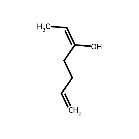 C=CCC/C(O)=C\C